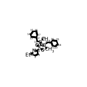 CCn1ccc(S(=O)(=O)N(B(C)Cc2ccccc2)B(C)Cc2ccccc2)n1